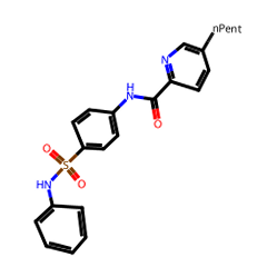 CCCCCc1ccc(C(=O)Nc2ccc(S(=O)(=O)Nc3ccccc3)cc2)nc1